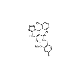 COc1cc(Cl)ccc1COC(=O)C1=C(C)Nc2nnnn2C1c1c(Cl)cccc1Cl